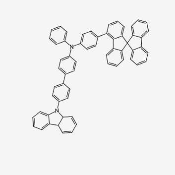 C1=CC2c3ccccc3N(c3ccc(-c4ccc(N(c5ccccc5)c5ccc(-c6cccc7c6-c6ccccc6C76c7ccccc7-c7ccccc76)cc5)cc4)cc3)C2C=C1